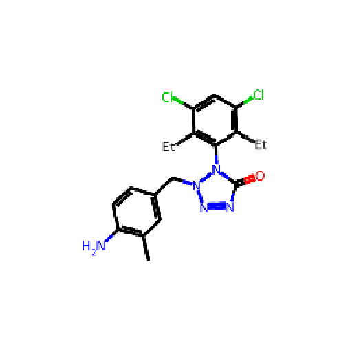 CCc1c(Cl)cc(Cl)c(CC)c1-n1c(=O)nnn1Cc1ccc(N)c(C)c1